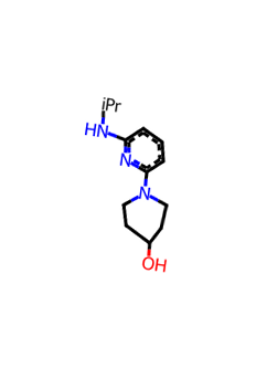 CC(C)Nc1cccc(N2CCC(O)CC2)n1